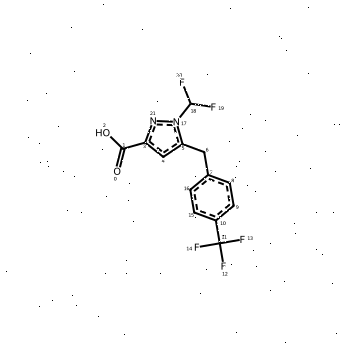 O=C(O)c1cc(Cc2ccc(C(F)(F)F)cc2)n(C(F)F)n1